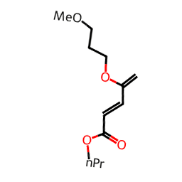 C=C(/C=C/C(=O)OCCC)OCCCOC